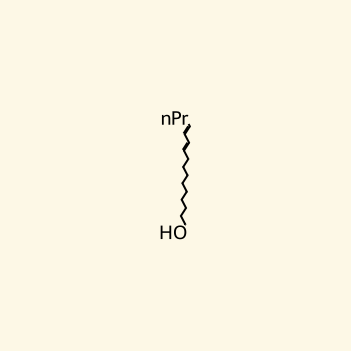 CCCC=C/C=C/CCCCCCCCCO